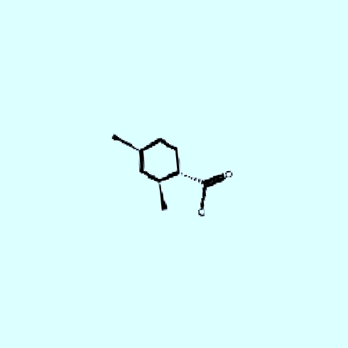 C[C@H]1CC[C@H](C(=O)Cl)[C@@H](C)C1